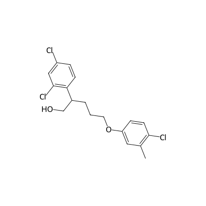 Cc1cc(OCCCC(CO)c2ccc(Cl)cc2Cl)ccc1Cl